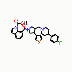 CC(=O)n1ccc2cccc(C(=O)N3CC(CN4CCC(c5ccc(F)cc5)CC4)C(c4ccsc4)C3)c21